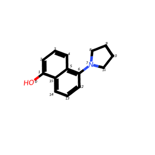 Oc1cccc2c(N3CCCC3)cccc12